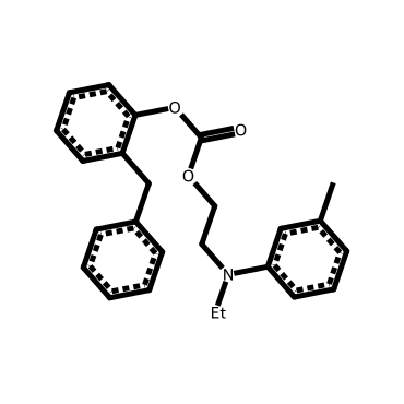 CCN(CCOC(=O)Oc1ccccc1Cc1ccccc1)c1cccc(C)c1